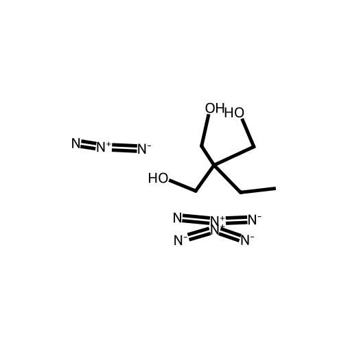 CCC(CO)(CO)CO.[N-]=[N+]=[N-].[N-]=[N+]=[N-].[N-]=[N+]=[N-]